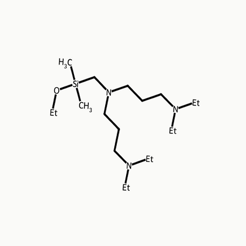 CCO[Si](C)(C)CN(CCCN(CC)CC)CCCN(CC)CC